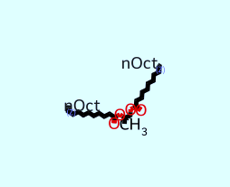 CCCCCCCC/C=C\CCCCCCCC(=O)OC[C](C)OC(=O)CCCCCCC/C=C\CCCCCCCC